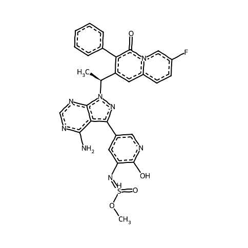 CO[SH](=O)=Nc1cc(-c2nn([C@@H](C)c3cc4ccc(F)cn4c(=O)c3-c3ccccc3)c3ncnc(N)c23)cnc1O